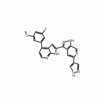 COc1cc(F)cc(-c2ccnc3[nH]c(-c4n[nH]c5cnc(-c6cn[nH]c6)cc45)cc23)c1